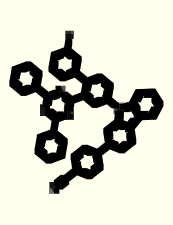 N#Cc1ccc(-c2ccc3c4ccccc4n(-c4ccc(-c5cccc(F)c5)c(-c5nc(-c6ccccc6)nc(-c6ccccc6)n5)c4)c3c2)cc1